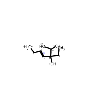 [CH2]C/C=C/C(O)(CC)C(C)O